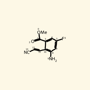 COC(=O)c1cc(F)cc(N)c1C=CC#N